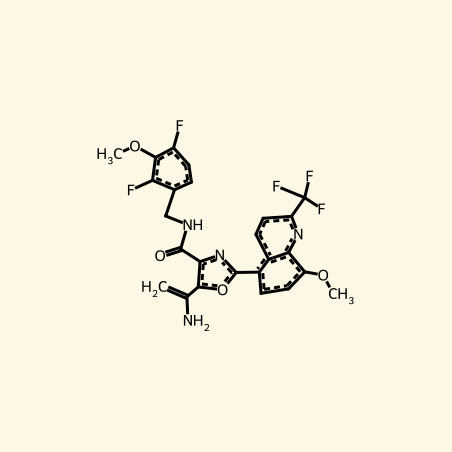 C=C(N)c1oc(-c2ccc(OC)c3nc(C(F)(F)F)ccc23)nc1C(=O)NCc1ccc(F)c(OC)c1F